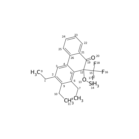 CCc1cc2c(c(CC)c1CC)C(O[SiH3])(C(F)(F)F)C(=O)c1ccccc1-2